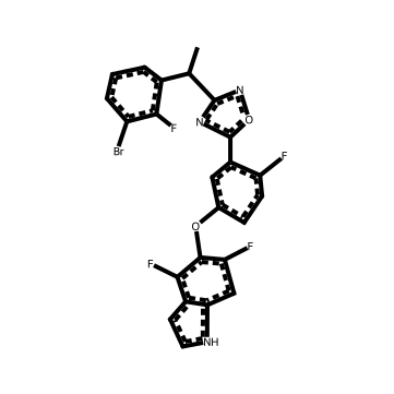 CC(c1noc(-c2cc(Oc3c(F)cc4[nH]ccc4c3F)ccc2F)n1)c1cccc(Br)c1F